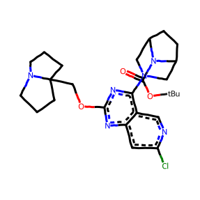 CC(C)(C)OC(=O)N1C2CCC1CN(c1nc(OCC34CCCN3CCC4)nc3cc(Cl)ncc13)C2